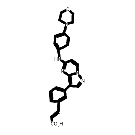 O=C(O)C=Cc1cccc(-c2cnn3ccc(Nc4ccc(N5CCOCC5)cc4)nc23)c1